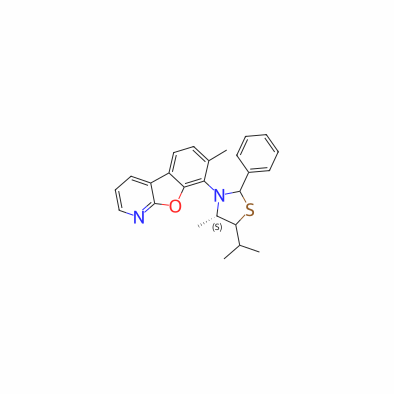 Cc1ccc2c(oc3ncccc32)c1N1C(c2ccccc2)SC(C(C)C)[C@@H]1C